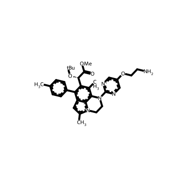 COC(=O)[C@@H](OC(C)(C)C)c1c(C)c2c3c(cc(C)n3CCN2c2ncc(OCCN)cn2)c1-c1ccc(C)cc1